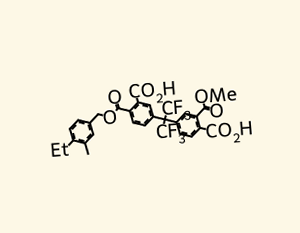 CCc1ccc(COC(=O)c2ccc(C(c3ccc(C(=O)O)c(C(=O)OC)c3)(C(F)(F)F)C(F)(F)F)cc2C(=O)O)cc1C